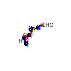 O=COCCn1cc(-c2cc3nccc(Oc4ccc(NC(=O)C5(C(=O)Nc6ccc(F)cc6)CC5)cc4F)c3s2)cn1